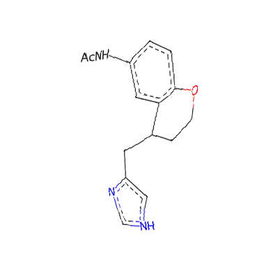 CC(=O)Nc1ccc2c(c1)C(Cc1c[nH]cn1)CCO2